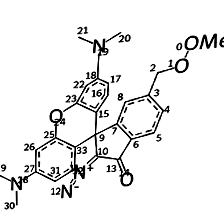 COOCc1ccc2c(c1)C1(C(=[N+]=[N-])C2=O)c2ccc(N(C)C)cc2Oc2cc(N(C)C)ccc21